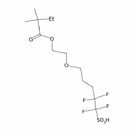 CCC(C)(C)C(=O)OCCOCCCC(F)(F)C(F)(F)S(=O)(=O)O